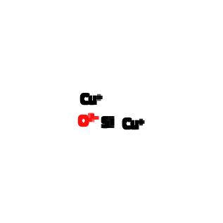 [Cu+].[Cu+].[O-2].[Si]